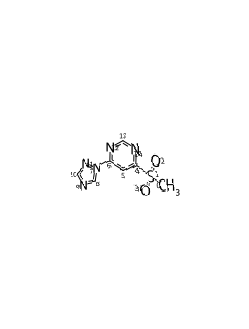 CS(=O)(=O)c1cc(-n2cncn2)ncn1